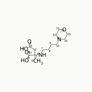 CC(CC(=O)O)(NCCCCN1CCOCC1)C(=O)O